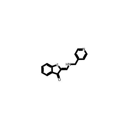 O=C1C(=CNCc2ccncc2)Sc2ccccc21